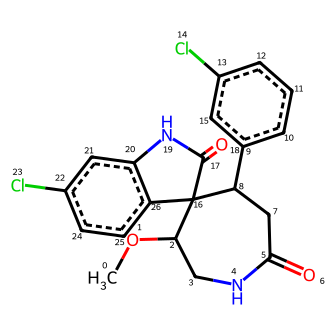 COC1CNC(=O)CC(c2cccc(Cl)c2)C12C(=O)Nc1cc(Cl)ccc12